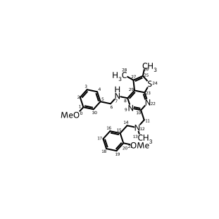 COc1cccc(CNc2nc(CN(C)Cc3ccccc3OC)nc3sc(C)c(C)c23)c1